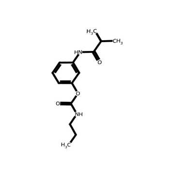 CCCNC(=O)Oc1cccc(NC(=O)C(C)C)c1